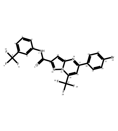 O=C(Nc1cccc(C(F)(F)F)c1)c1cc2nc(-c3ccc(Br)cc3)cc(C(F)(F)F)n2n1